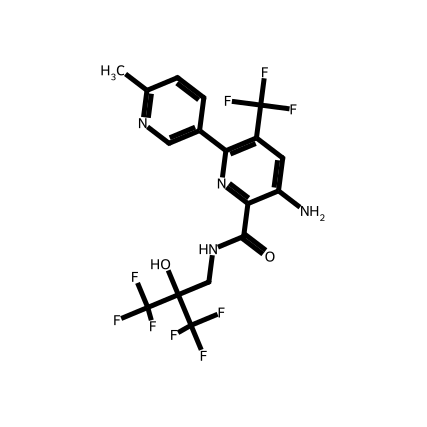 Cc1ccc(-c2nc(C(=O)NCC(O)(C(F)(F)F)C(F)(F)F)c(N)cc2C(F)(F)F)cn1